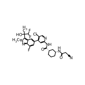 Cn1nc2c(F)cc(-c3cc(NC(=O)[C@H]4CCC[C@@H](NC(=O)CC#N)C4)ncc3Cl)cc2c1C(C)(O)C(F)F